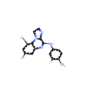 Fc1cc(Nc2nc3cc(Cl)cc(Cl)c3n3ccnc23)ccc1C(F)(F)F